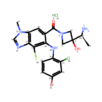 C[C@H](N)C1(O)CN(C(=O)c2cc3c(ncn3C)c(F)c2Nc2ccc(Br)cc2Cl)C1.Cl